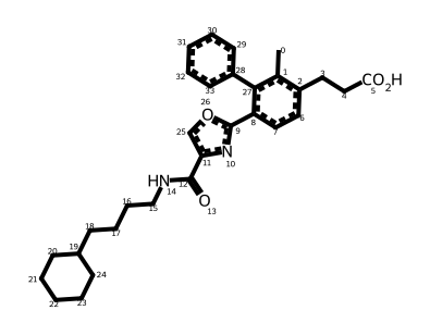 Cc1c(CCC(=O)O)ccc(-c2nc(C(=O)NCCCCC3CCCCC3)co2)c1-c1ccccc1